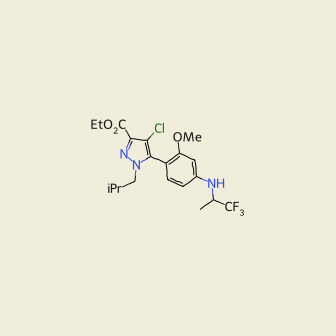 CCOC(=O)c1nn(CC(C)C)c(-c2ccc(NC(C)C(F)(F)F)cc2OC)c1Cl